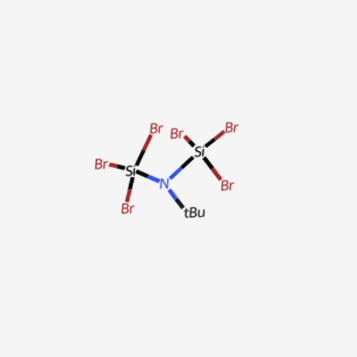 CC(C)(C)N([Si](Br)(Br)Br)[Si](Br)(Br)Br